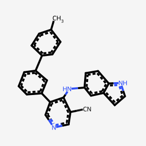 Cc1ccc(-c2cccc(-c3cncc(C#N)c3Nc3ccc4[nH]ccc4c3)c2)cc1